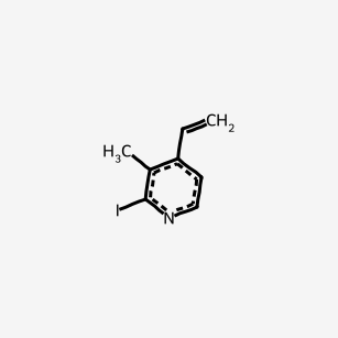 C=Cc1ccnc(I)c1C